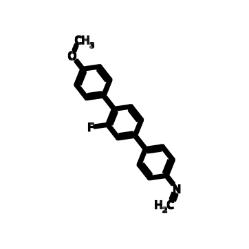 C=Nc1ccc(-c2ccc(-c3ccc(OC)cc3)c(F)c2)cc1